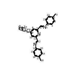 Cc1ccc(N=Cc2cccc(C=Nc3ccc(C)cc3)n2)cc1.[Cl-].[Cl-].[Cl-].[Fe+3]